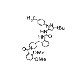 COc1cccc(C(=O)N2CCC(Cc3ccccc3NC(=O)Nc3cc(C(C)(C)C)nn3-c3ccc(C)cc3)CC2)c1OC